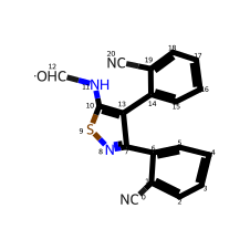 N#Cc1ccccc1-c1nsc(N[C]=O)c1-c1ccccc1C#N